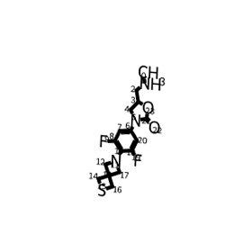 CNCC1CN(c2cc(F)c(N3CC4(CSC4)C3)c(F)c2)C(=O)O1